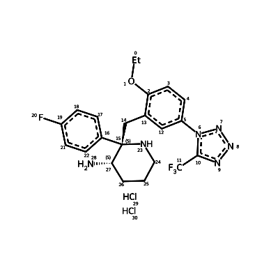 CCOc1ccc(-n2nnnc2C(F)(F)F)cc1C[C@@]1(c2ccc(F)cc2)NCCC[C@@H]1N.Cl.Cl